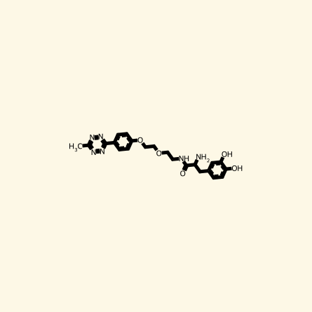 Cc1nnc(-c2ccc(OCCOCCNC(=O)C(N)Cc3ccc(O)c(O)c3)cc2)nn1